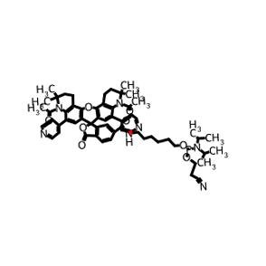 CC(=O)N1c2c(-c3ccncc3)cc3c(c2CCC1(C)C)Oc1c(cc(-c2ccncc2)c2c1CCC(C)(C)N2C(C)=O)C31OC(=O)c2ccc(C(=O)NCCCCCCOP(OCCC#N)N(C(C)C)C(C)C)cc21